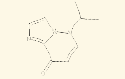 CC(C)n1ccc(=O)c2nccn21